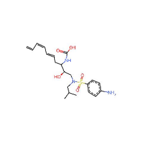 C=C/C=C\C=C\CC(NC(=O)O)[C@H](O)CN(CC(C)C)S(=O)(=O)c1ccc(N)cc1